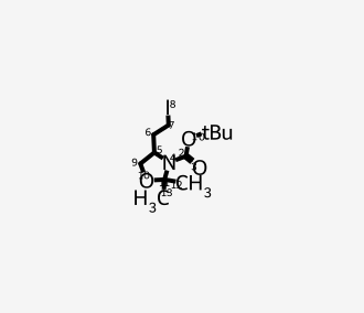 CC(C)(C)OC(=O)N1C(CCI)COC1(C)C